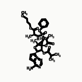 COCCCOC(=O)[C@H](C)NP(=O)(Oc1ccccc1)OC1[C@@]2(C)O[C@@H](c3ccc4c(N)ncnn34)[C@H](OC(=O)C(C)C)[C@@]12OC(=O)C(C)C